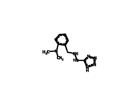 CN(C)c1ccccc1CNNc1nnn[nH]1